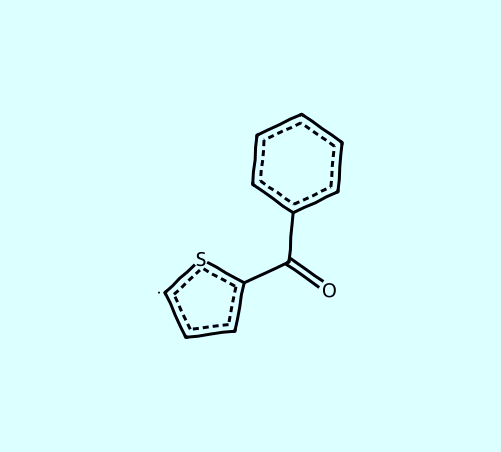 O=C(c1ccccc1)c1cc[c]s1